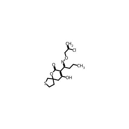 C=C(Cl)CON=C(CCC)C1=C(O)CC2(CCSC2)OC1=O